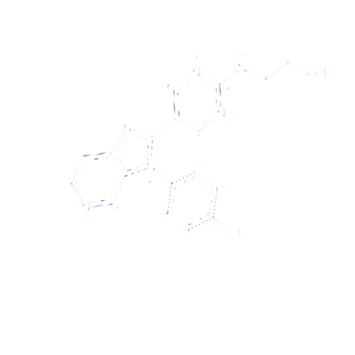 OCCNc1ncc(-c2nc3ccncc3n2-c2ccc(Cl)cc2)cn1